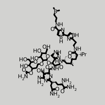 CB(C)CCCNC(=O)C1=CBC(C2=CBC(CCNC(=O)[C@@H](CC(=O)[C@@H](C)C[C@@H](C)NC(=O)[C@@H](NC(=O)c3nc([C@@H](CC[C@H](N)C(N)=O)CC(N)=O)nc(N)c3C)[C@@H](OC3OC(CO)C(O)C(O)C3OC3OC(CO)C(O)C(OC(N)=O)C3O)c3c[nH]cn3)C(C)C)=N2)=N1